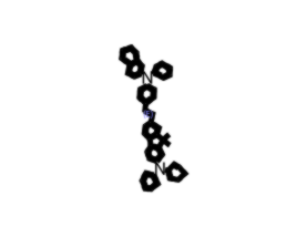 CC1(C)c2cc(/C=C/c3ccc(N(c4ccccc4)c4ccc5ccccc5c4)cc3)ccc2-c2ccc(N(C3=CCCC=C3)c3ccccc3)cc21